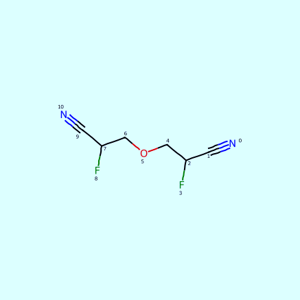 N#CC(F)COCC(F)C#N